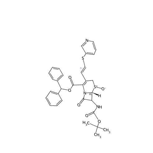 CC(C)(C)OC(=O)NC1C(=O)N2C(C(=O)OC(c3ccccc3)c3ccccc3)=C(/C=C/Sc3cccnc3)C[S+]([O-])[C@H]12